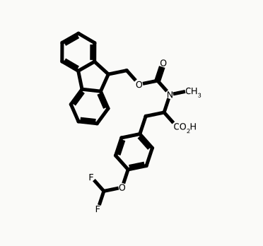 CN(C(=O)OCC1c2ccccc2-c2ccccc21)C(Cc1ccc(OC(F)F)cc1)C(=O)O